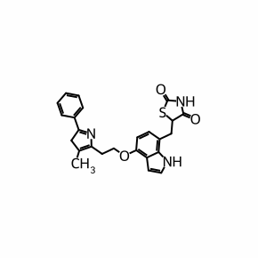 CC1=C(CCOc2ccc(CC3SC(=O)NC3=O)c3[nH]ccc23)N=C(c2ccccc2)C1